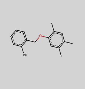 CC(=O)c1ccccc1COc1cc(C)c(C)cc1C